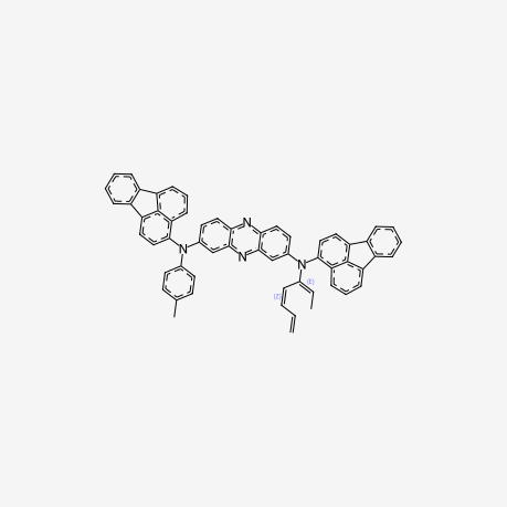 C=C/C=C\C(=C/C)N(c1ccc2nc3ccc(N(c4ccc(C)cc4)c4ccc5c6c(cccc46)-c4ccccc4-5)cc3nc2c1)c1ccc2c3c(cccc13)-c1ccccc1-2